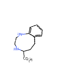 O=C(O)C1CCc2ccccc2NCCN1